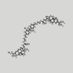 CC(C)C1=CC2=CCC3C(C)(C(=O)OCC(O)COCCOc4ccc(C(C)(C)c5ccc(OCCOCC(O)COC(=O)C6(C)CCCC7(C)C8CCC(C(C)C)=CC8=CCC67)cc5)cc4)CCCC3(C)C2CC1